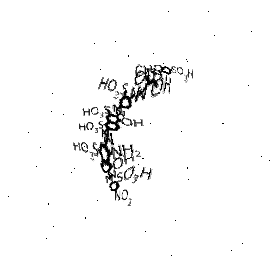 Nc1c(N=Nc2ccc3c(O)c(N=Nc4ccc(N=Nc5c(OC=O)nn(-c6ccc(S(=O)(=O)O)cc6)c5O)c(S(=O)(=O)O)c4)c(S(=O)(=O)O)cc3c2S(=O)(=O)O)cc(S(=O)(=O)O)c2ccc(N=Nc3ccc([N+](=O)[O-])cc3S(=O)(=O)O)c(O)c12